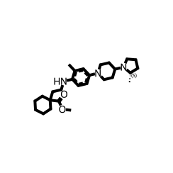 COC(=O)C1(CCNc2ccc(N3CCC(N4CCC[C@@H]4C)CC3)cc2C)CCCCC1